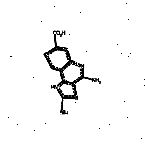 CCCCc1nc2c(N)nc3cc(C(=O)O)ccc3c2[nH]1